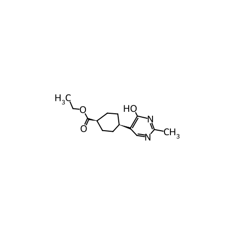 CCOC(=O)[C@H]1CC[C@@H](c2cnc(C)nc2O)CC1